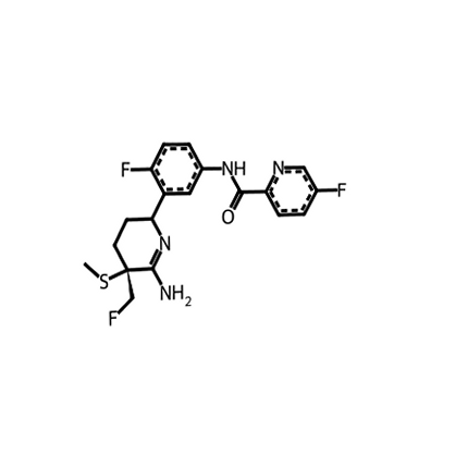 CS[C@]1(CF)CCC(c2cc(NC(=O)c3ccc(F)cn3)ccc2F)N=C1N